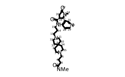 CNC(=O)CCCN1CCC2(CCN(CCCNC(=O)[C@H]3CC(=O)N(C)[C@@H]3c3cccnc3)CC2)CC1